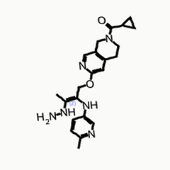 C/C(NN)=C(\COc1cc2c(cn1)CN(C(=O)C1CC1)CC2)Nc1ccc(C)nc1